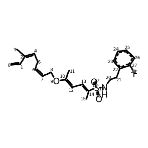 C=C/C(C)=C\C/C=C\CO/C(C)=C/C=C(\C)S(=O)(=O)NCCc1ccccc1F